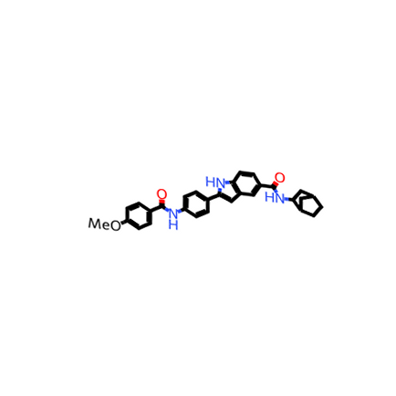 COc1ccc(C(=O)Nc2ccc(-c3cc4cc(C(=O)NC5CC6CCC5C6)ccc4[nH]3)cc2)cc1